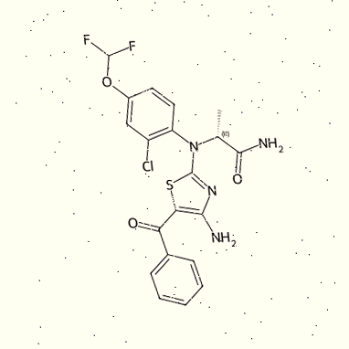 C[C@H](C(N)=O)N(c1nc(N)c(C(=O)c2ccccc2)s1)c1ccc(OC(F)F)cc1Cl